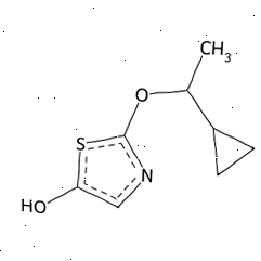 CC(Oc1ncc(O)s1)C1CC1